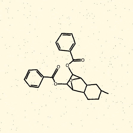 CC1CCC2C(C1)C1OC2C(OC(=O)c2ccccc2)C1OC(=O)c1ccccc1